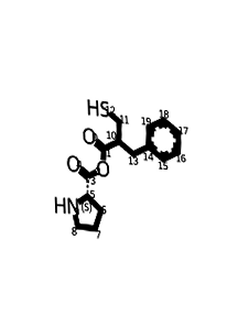 O=C(OC(=O)[C@@H]1CCCN1)C(CS)Cc1ccccc1